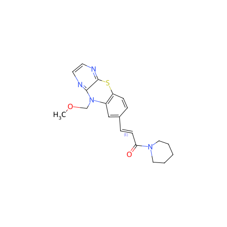 COCN1c2cc(/C=C/C(=O)N3CCCCC3)ccc2Sc2nccnc21